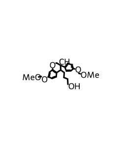 COCOc1ccc(C2(C)COc3cc(OCOC)ccc3C2CCCCO)cc1